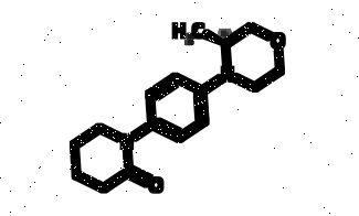 C[C@H]1COCCN1c1ccc(N2CCCCC2=O)cc1